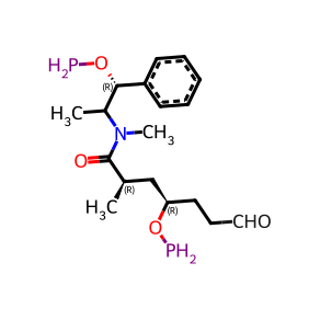 CC([C@H](OP)c1ccccc1)N(C)C(=O)[C@H](C)C[C@@H](CCC=O)OP